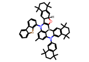 Cc1cc2c3c(c1)N(c1ccc4c(c1)C(C)(C)CCC4(C)C)c1cc4c(cc1B3C1=C(C3C=C5C(=C[C@@H]3O1)C(C)(C)CCC5(C)C)N2c1cccc2c1sc1ccccc12)C(C)(C)CCC4(C)C